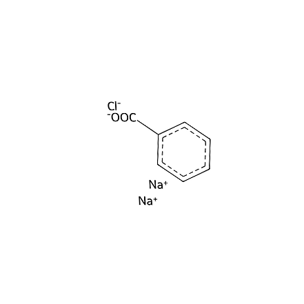 O=C([O-])c1ccccc1.[Cl-].[Na+].[Na+]